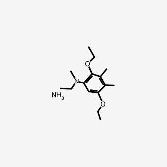 CCOc1cc(N(C)CC)c(OCC)c(C)c1C.N